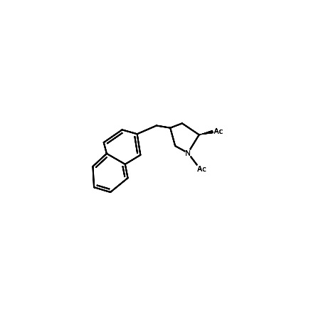 CC(=O)[C@@H]1CC(Cc2ccc3ccccc3c2)CN1C(C)=O